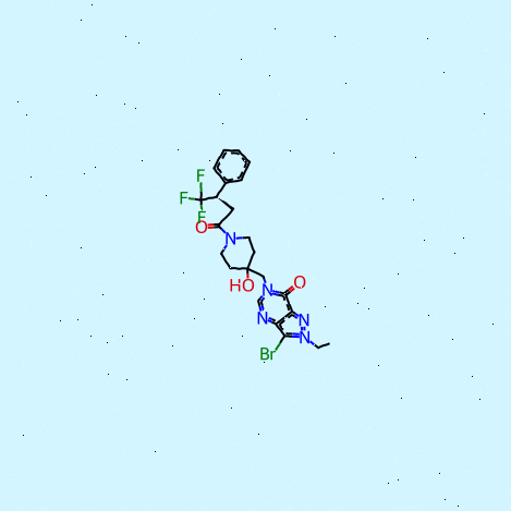 CCn1nc2c(=O)n(CC3(O)CCN(C(=O)C[C@H](c4ccccc4)C(F)(F)F)CC3)cnc2c1Br